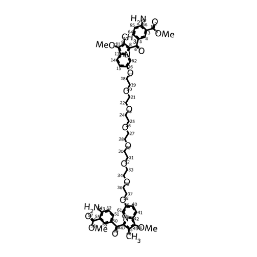 COC(=O)c1cc(C(=O)c2c(C)c(OC)c3ccc(OCCOCCOCCOCCOCCOCCOCCOc4ccc5c(OC)c(C)c(C(=O)c6ccc(N)c(C(=O)OC)c6)n5c4)cn23)ccc1N